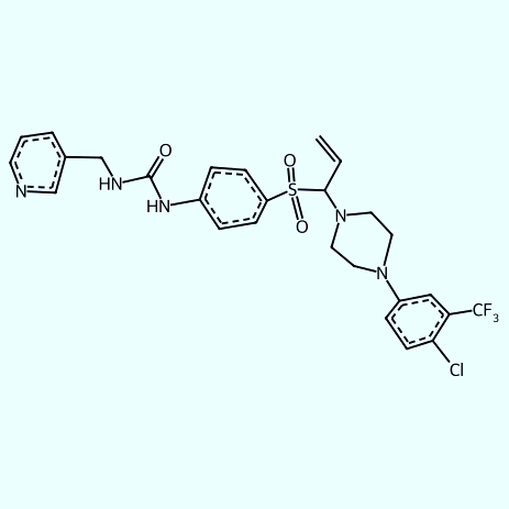 C=CC(N1CCN(c2ccc(Cl)c(C(F)(F)F)c2)CC1)S(=O)(=O)c1ccc(NC(=O)NCc2cccnc2)cc1